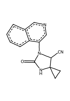 N#CC1N(c2cncc3ccccc23)C(=O)NC12CC2